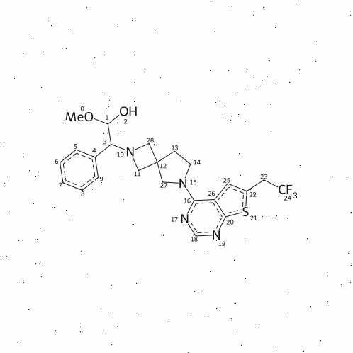 COC(O)C(c1ccccc1)N1CC2(CCN(c3ncnc4sc(CC(F)(F)F)cc34)C2)C1